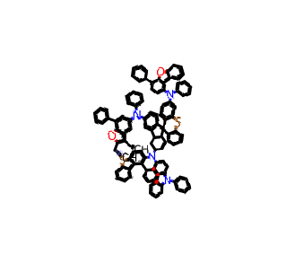 C#Cc1c(/C=C\C)oc2c(-c3ccccc3)cc(N(c3ccccc3)c3ccc4c(c3)C3=C(C=CC(N(c5ccc6c(c5)c5ccccc5n6-c5ccccc5)c5ccc6sc7ccccc7c6c5-c5ccccc5)C3)C43c4ccccc4Sc4cc(N(c5ccccc5)c5ccc(-c6ccccc6)c6oc7ccccc7c56)ccc43)cc12